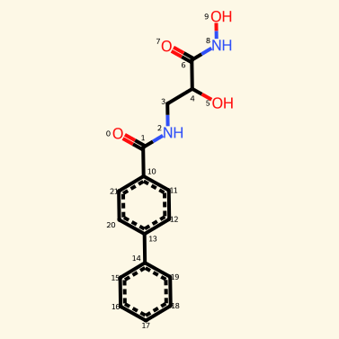 O=C(NCC(O)C(=O)NO)c1ccc(-c2ccccc2)cc1